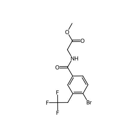 COC(=O)CNC(=O)c1ccc(Br)c(CC(F)(F)F)c1